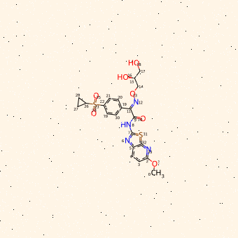 COc1ccc2nc(NC(=O)/C(=N/OC[C@@H](O)CO)c3ccc(S(=O)(=O)C4CC4)cc3)sc2n1